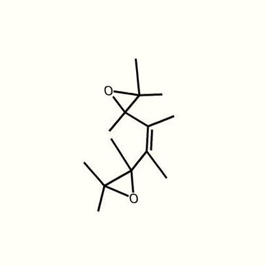 CC(=C(C)C1(C)OC1(C)C)C1(C)OC1(C)C